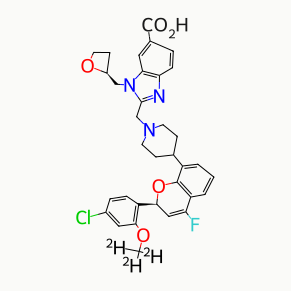 [2H]C([2H])([2H])Oc1cc(Cl)ccc1[C@@H]1C=C(F)c2cccc(C3CCN(Cc4nc5ccc(C(=O)O)cc5n4C[C@@H]4CCO4)CC3)c2O1